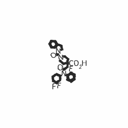 O=C(N1CCC(CC(=O)N(c2ccccc2F)[C@@H]2CCCC(F)(F)C2)(C(=O)O)CC1)N1CCc2ccccc21